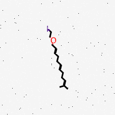 CC(C)=CCC/C=C/CC/C=C/COCCI